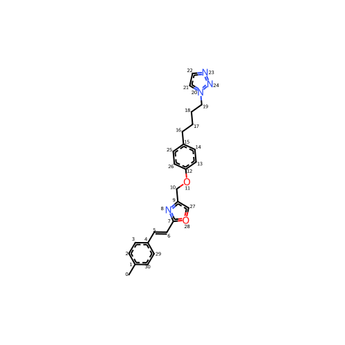 Cc1ccc(C=Cc2nc(COc3ccc(CCCCn4ccnn4)cc3)co2)cc1